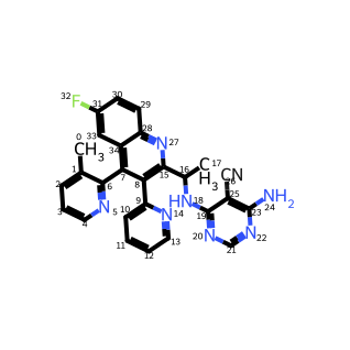 Cc1cccnc1-c1c(-c2ccccn2)c(C(C)Nc2ncnc(N)c2C#N)nc2ccc(F)cc12